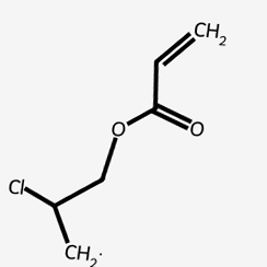 [CH2]C(Cl)COC(=O)C=C